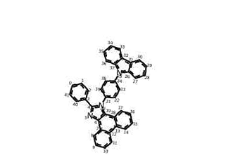 c1ccc(-c2nc3c4ccccc4c4ccccc4c3n2-c2ccc(-n3c4ccccc4c4ccccc43)cc2)cc1